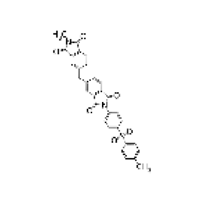 Cc1ccc(S(=O)(=O)c2ccc(N3C(=O)c4ccc(Cc5ccc6c(c5)C(=O)N(C)C6=O)cc4C3=O)cc2)cc1